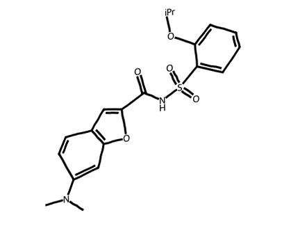 CC(C)Oc1ccccc1S(=O)(=O)NC(=O)c1cc2ccc(N(C)C)cc2o1